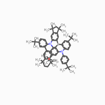 CC(C)(C)c1ccc(N2c3ccc(C(C)(C)C)cc3B3c4cc5c(cc4N(c4ccc(C(C)(C)C)cc4-c4ccc6c(c4)C(C)(C)CCC6(C)C)c4cc(C(C)(C)C)cc2c43)C(C)(C)CC5(C)C)cc1